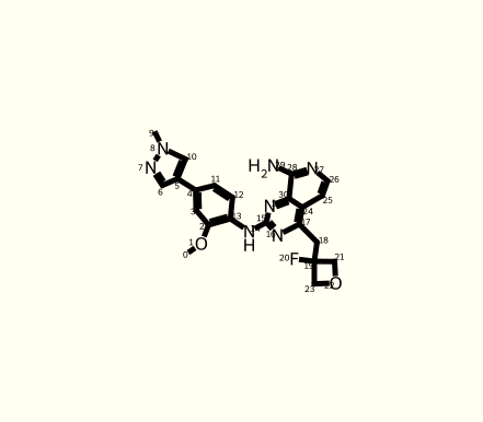 COc1cc(-c2cnn(C)c2)ccc1Nc1nc(CC2(F)COC2)c2ccnc(N)c2n1